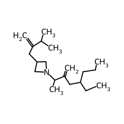 C=C(CC1CN(C(C)C(=C)CC(CC)CCC)C1)C(C)C